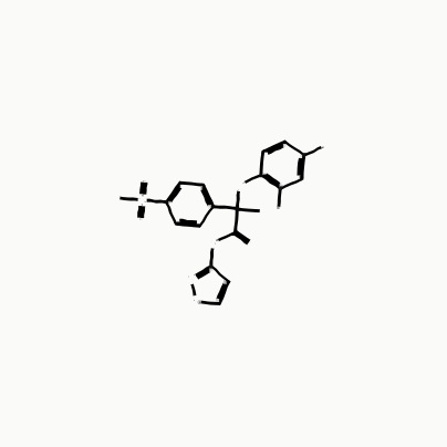 CC(Oc1ccc(F)cc1F)(C(=O)Nc1cc[nH]n1)c1ccc(S(C)(=O)=O)cc1